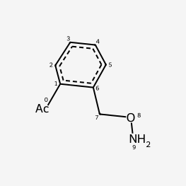 CC(=O)c1ccccc1CON